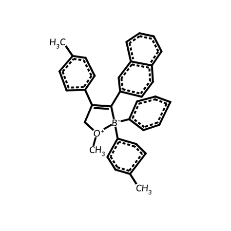 Cc1ccc(C2=C(c3ccc4ccccc4c3)[B-](c3ccccc3)(c3ccc(C)cc3)[O+](C)C2)cc1